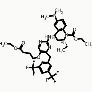 CCOC(=O)CCCOc1cnc(N[C@H]2C[C@@H](CC)N(C(=O)OCC)c3ccc(N(C)C)cc32)nc1Cc1cc(C(F)(F)F)cc(C(F)(F)F)c1